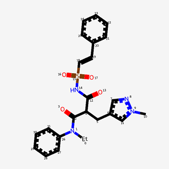 CCN(C(=O)C(Cc1cnn(C)c1)C(=O)NS(=O)(=O)/C=C/c1ccccc1)c1ccccc1